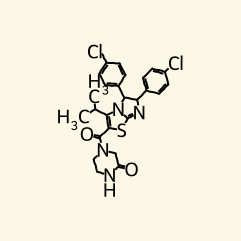 CC(C)C1=C(C(=O)N2CCNC(=O)C2)SC2=NC(c3ccc(Cl)cc3)C(c3ccc(Cl)cc3)N21